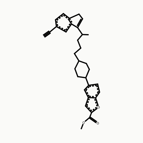 C#Cc1ccc2c(c1)C(C(C)CCCC1CCC(c3ccc4oc(C(=O)OC)cc4c3)CC1)=CC2